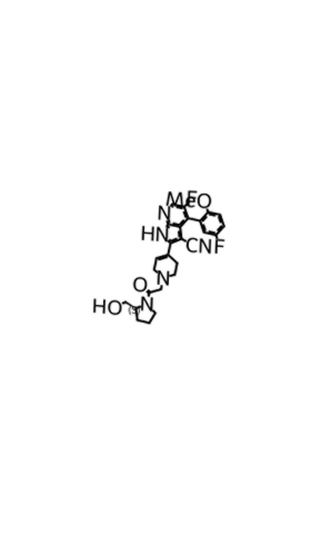 COc1ccc(F)cc1-c1c(F)cnc2[nH]c(C3=CCN(CC(=O)N4CCC[C@H]4CO)CC3)c(C#N)c12